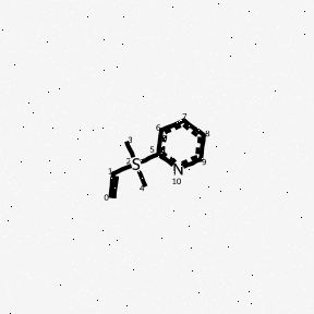 C=CS(C)(C)c1ccccn1